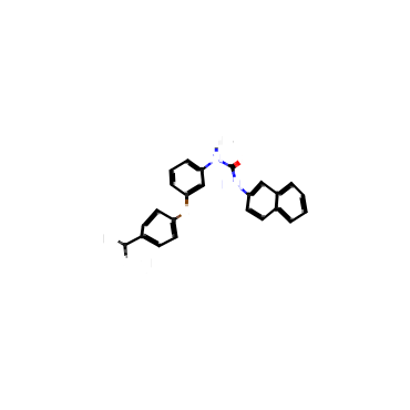 CCCCCCCN(C(=O)Nc1ccc2ccccc2c1)c1cccc(Sc2ccc(C(CC)C(=O)O)cc2)c1